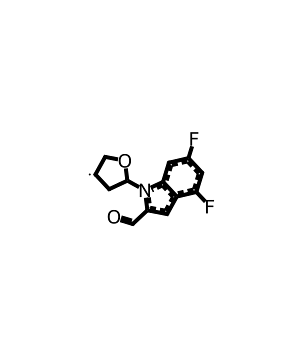 O=Cc1cc2c(F)cc(F)cc2n1C1C[CH]CO1